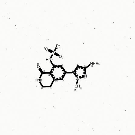 CCS(=O)(=O)Nc1cc(-c2cc(NC(C)=O)nn2C)cc2c1C(=O)NCC2